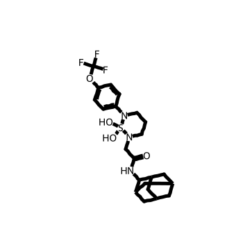 O=C(CN1CCCN(c2ccc(OC(F)(F)F)cc2)S1(O)O)NC1C2CC3CC(C2)CC1C3